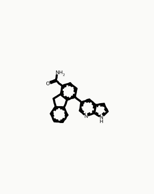 NC(=O)c1ccc(-c2cnc3[nH]ccc3c2)c2c1Cc1ccccc1-2